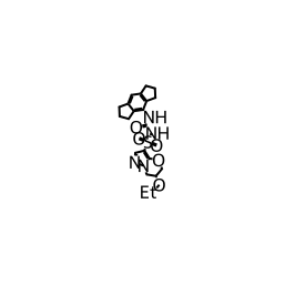 CCO[C@H]1COc2c(S(=O)(=O)NC(=O)Nc3c4c(cc5c3CCC5)CCC4)cnn2C1